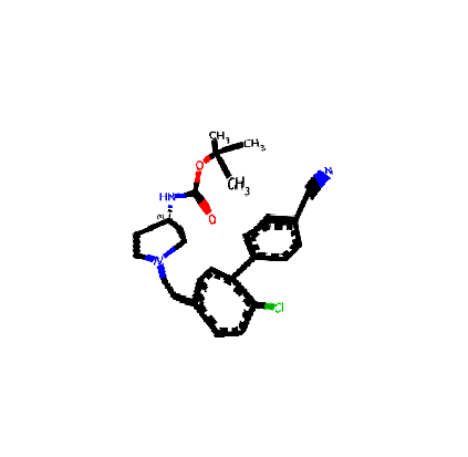 CC(C)(C)OC(=O)N[C@H]1CCN(Cc2ccc(Cl)c(-c3ccc(C#N)cc3)c2)C1